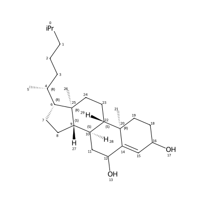 CC(C)CCC[C@@H](C)[C@H]1CC[C@H]2[C@@H]3CC(O)C4=CC(O)CC[C@]4(C)[C@H]3CC[C@]12C